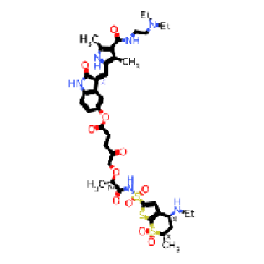 CCN[C@H]1C[C@H](C)S(=O)(=O)c2sc(S(=O)(=O)NC(=O)[C@H](C)OCC(=O)CCC(=O)Oc3ccc4c(c3)/C(=C/c3[nH]c(C)c(C(=O)NCCN(CC)CC)c3C)C(=O)N4)cc21